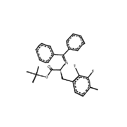 Cc1ccc(C[C@H](N=C(c2ccccc2)c2ccccc2)C(=O)OC(C)(C)C)c(F)c1F